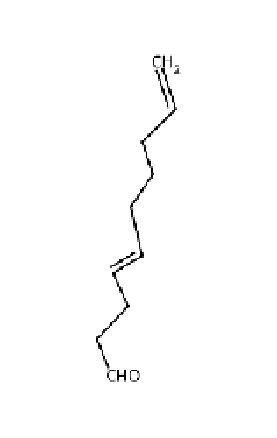 C=CCCCC=CCCC=O